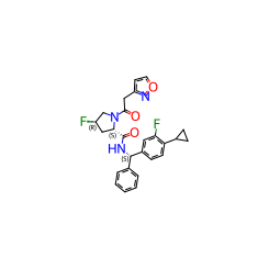 O=C(N[C@@H](c1ccccc1)c1ccc(C2CC2)c(F)c1)[C@@H]1C[C@@H](F)CN1C(=O)Cc1ccon1